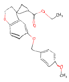 CCOC(=O)C1CC12CCOc1ccc(OCc3ccc(OC)cc3)cc12